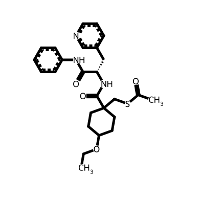 CCOC1CCC(CSC(C)=O)(C(=O)N[C@@H](Cc2cccnc2)C(=O)Nc2ccccc2)CC1